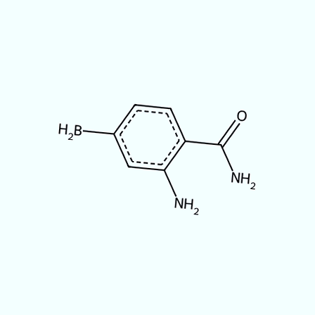 Bc1ccc(C(N)=O)c(N)c1